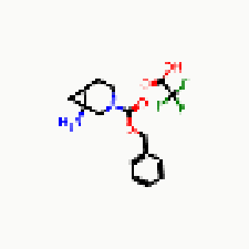 NC12CC1CCN(C(=O)OCc1ccccc1)C2.O=C(O)C(F)(F)F